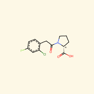 O=C(O)[C@H]1CCCN1C(=O)Cc1ccc(F)cc1Cl